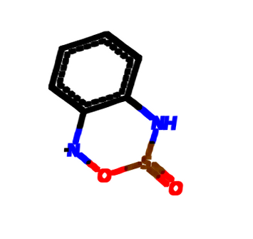 O=S1Nc2ccccc2[N]O1